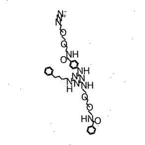 [N-]=[N+]=NCCOCCOCCNC(=O)c1ccc(Nc2nc(NCCCCc3ccccc3)nc(NCCOCCOCCNC(=O)c3ccccc3)n2)cc1